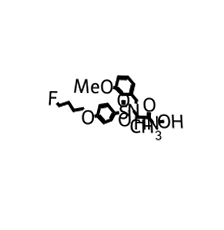 COc1cccc(CN(C(C)C(=O)NO)S(=O)(=O)c2ccc(OCCCCF)cc2)c1